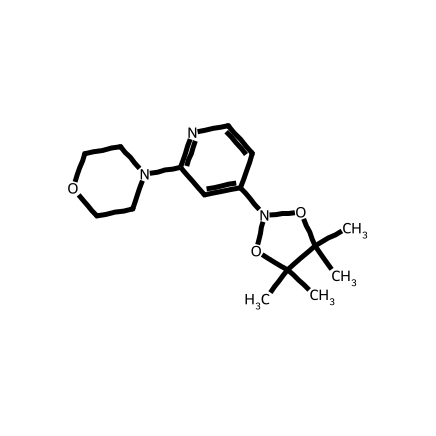 CC1(C)ON(c2ccnc(N3CCOCC3)c2)OC1(C)C